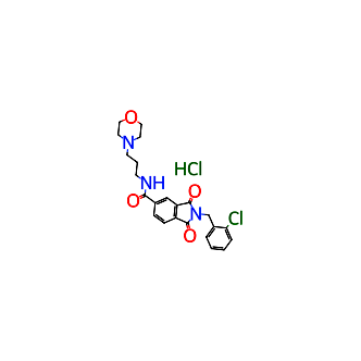 Cl.O=C(NCCCN1CCOCC1)c1ccc2c(c1)C(=O)N(Cc1ccccc1Cl)C2=O